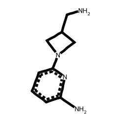 NCC1CN(c2cccc(N)n2)C1